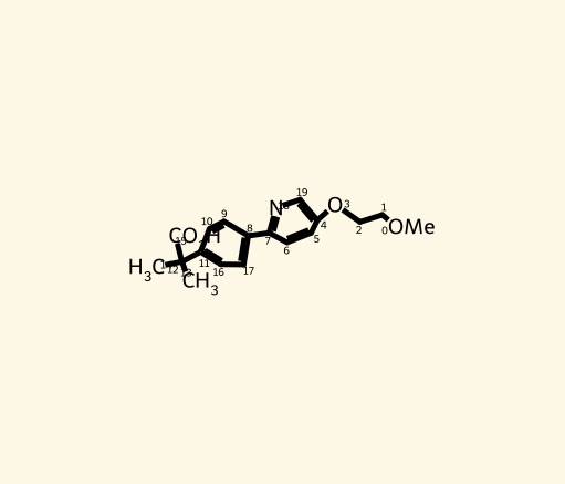 COCCOc1ccc(-c2ccc(C(C)(C)C(=O)O)cc2)nc1